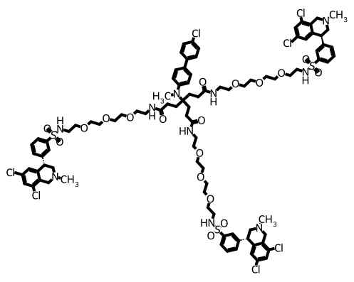 CN1Cc2c(Cl)cc(Cl)cc2[C@H](c2cccc(S(=O)(=O)NCCOCCOCCOCCNC(=O)CCC(CCC(=O)NCCOCCOCCOCCNS(=O)(=O)c3cccc([C@@H]4CN(C)Cc5c(Cl)cc(Cl)cc54)c3)(CCC(=O)NCCOCCOCCOCCNS(=O)(=O)c3cccc([C@@H]4CN(C)Cc5c(Cl)cc(Cl)cc54)c3)N(C)c3ccc(-c4ccc(Cl)cc4)cc3)c2)C1